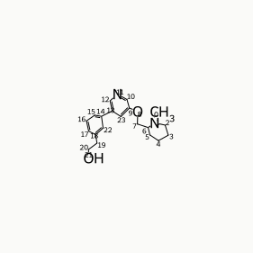 CN1CCCCC1COc1cncc(-c2cccc(CCO)c2)c1